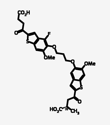 COc1cc2sc(C(=O)C[C@H](C)C(=O)O)cc2cc1OCCCOc1c(OC)cc2sc(C(=O)CCC(=O)O)cc2c1F